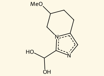 COC1CCc2cnc(C(O)O)n2C1